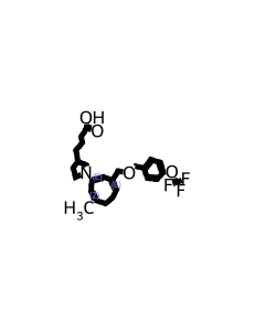 C/C1=C/C(N2CCC(CCCC(=O)O)C2)=C\C(COCc2ccc(OC(F)(F)F)cc2)=C/CC1